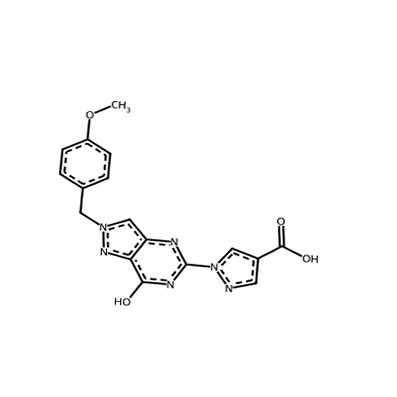 COc1ccc(Cn2cc3nc(-n4cc(C(=O)O)cn4)nc(O)c3n2)cc1